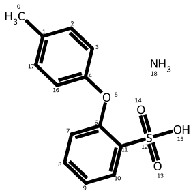 Cc1ccc(Oc2ccccc2S(=O)(=O)O)cc1.N